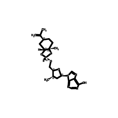 C=C(C)[C@H]1CC[C@@]2(C)S[P@](=S)(OC[C@H]3O[C@@H](n4cnc5c(O)ncnc54)C[C@@H]3C)O[C@@H]2C1